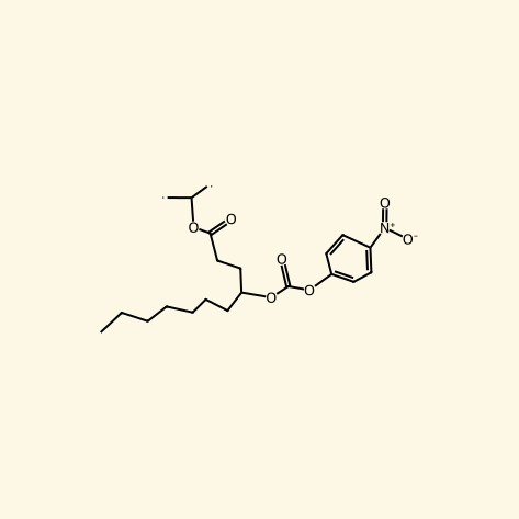 [CH2]C([CH2])OC(=O)CCC(CCCCCCC)OC(=O)Oc1ccc([N+](=O)[O-])cc1